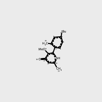 COc1c(-c2ccc(C(C)(C)C)cc2C)[nH]c(C)cc1=O